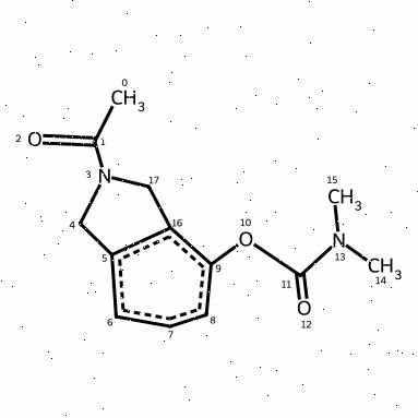 CC(=O)N1Cc2cccc(OC(=O)N(C)C)c2C1